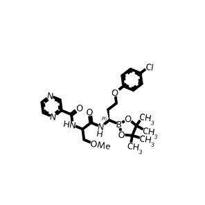 COCC(NC(=O)c1cnccn1)C(=O)N[C@@H](CCOc1ccc(Cl)cc1)B1OC(C)(C)C(C)(C)O1